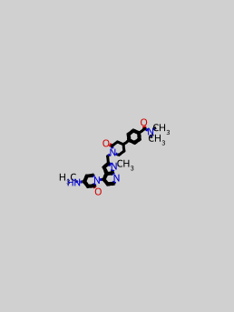 CNc1ccn(-c2ccnc3c2cc(CN2CCC(c4ccc(C(=O)N(C)C)cc4)CC2=O)n3C)c(=O)c1